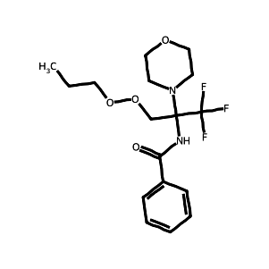 CCCOOCC(NC(=O)c1ccccc1)(N1CCOCC1)C(F)(F)F